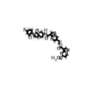 COc1ccn2ncc(C(=O)OCCc3cnc4c(C(=O)N[C@H]5CC[C@@]6(CCN(c7ccc(F)cc7Cl)C6=O)CC5)cnn4c3)c2n1